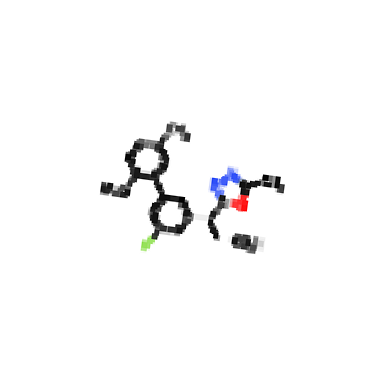 COc1ccc(C)cc1-c1cc(F)cc(C(CC(=O)O)c2nnc(C)o2)c1